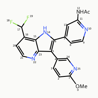 COc1ccc(-c2c(-c3ccnc(NC(C)=O)c3)[nH]c3c(C(F)F)ccnc23)cn1